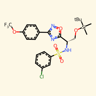 CC(C)(C)[Si](C)(C)OC[C@H](NS(=O)(=O)c1cccc(Cl)c1)c1nc(-c2ccc(OC(F)(F)F)cc2)no1